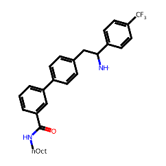 CCCCCCCCNC(=O)c1cccc(-c2ccc(CC([NH])c3ccc(C(F)(F)F)cc3)cc2)c1